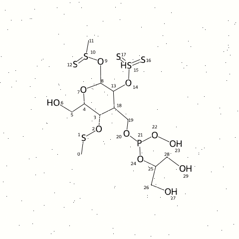 CSOC1C(CO)OC(OS(C)=S)C(O[SH](=S)=S)C1COP(OO)OC(CO)CO